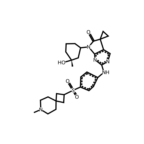 CN1CCC2(CC1)CC(S(=O)(=O)c1ccc(Nc3ncc4c(n3)N(C3CCC[C@@](C)(O)C3)C(=O)C43CC3)cc1)C2